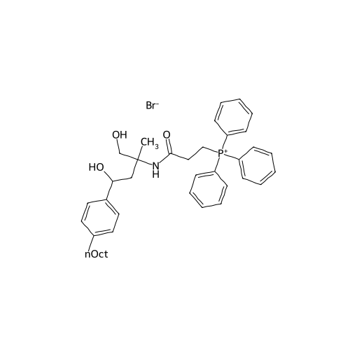 CCCCCCCCc1ccc(C(O)CC(C)(CO)NC(=O)CC[P+](c2ccccc2)(c2ccccc2)c2ccccc2)cc1.[Br-]